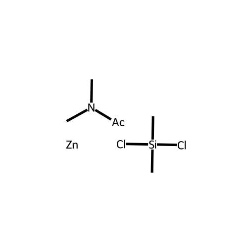 CC(=O)N(C)C.C[Si](C)(Cl)Cl.[Zn]